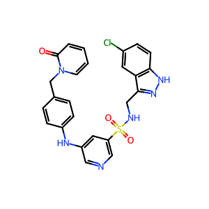 O=c1ccccn1Cc1ccc(Nc2cncc(S(=O)(=O)NCc3n[nH]c4ccc(Cl)cc34)c2)cc1